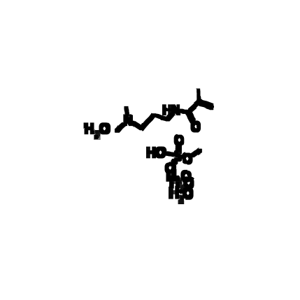 C=C(C)C(=O)NCCCN(C)C.COS(=O)(=O)O.O.O.O.O